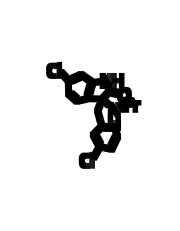 CC(C)NC1(Cc2cccc(Cl)c2)C(=O)Nc2cc(Cl)ccc21